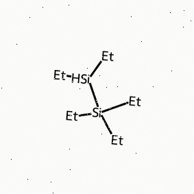 CC[SiH](CC)[Si](CC)(CC)CC